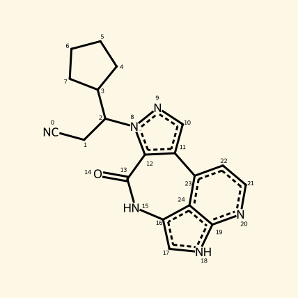 N#CCC(C1CCCC1)n1ncc2c1C(=O)Nc1c[nH]c3nccc-2c13